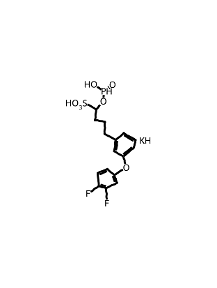 O=[PH](O)OC(CCCc1cccc(Oc2ccc(F)c(F)c2)c1)S(=O)(=O)O.[KH]